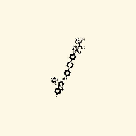 CC[C@@H](C(C)OS(=O)(=O)O)n1ncn(-c2ccc(N3CCN(c4ccc(OC[C@@H]5CO[C@@](Cn6cncn6)(c6ccc(F)cc6F)C5)cc4)CC3)cc2)c1=O